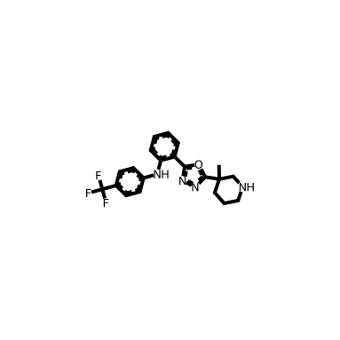 CC1(c2nnc(-c3ccccc3Nc3ccc(C(F)(F)F)cc3)o2)CCCNC1